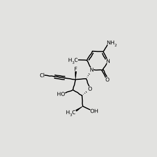 Cc1cc(N)nc(=O)n1[C@@H]1O[C@H]([C@H](C)O)C(O)[C@]1(F)C#CCl